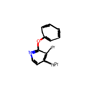 CCCc1ccnc(Oc2ccccc2)c1C(C)C